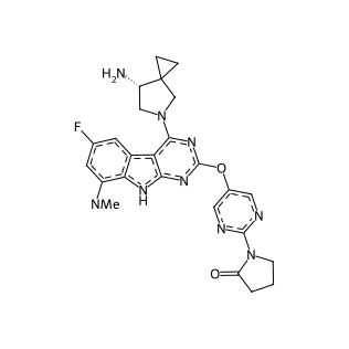 CNc1cc(F)cc2c1[nH]c1nc(Oc3cnc(N4CCCC4=O)nc3)nc(N3C[C@H](N)C4(CC4)C3)c12